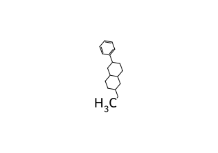 CCC1CCC2CC(c3ccccc3)CCC2C1